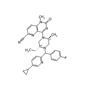 CC[C@@H]1CN(c2nc(=O)n(C)c3ccc(C#N)nc23)[C@@H](C)CN1C(c1ccc(F)cc1)c1ccc(C2CC2)cn1